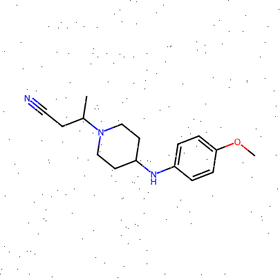 COc1ccc(NC2CCN(C(C)CC#N)CC2)cc1